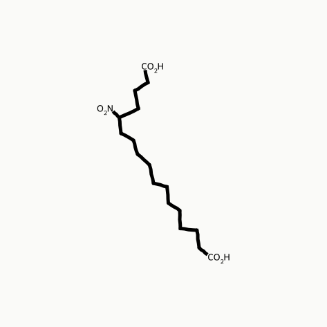 O=C(O)CCCCCCCCCCCC(CCCC(=O)O)[N+](=O)[O-]